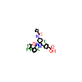 O=C(O)c1ccc(-c2nn(C(=O)c3c(Cl)cccc3C3(C(F)(F)F)CC3)c3c2CCC(NC(=O)C2CCC2)C3)c(F)c1